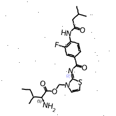 CCC(C)[C@H](N)C(=O)OCn1ccs/c1=N\C(=O)c1ccc(NC(=O)CC(C)C)c(F)c1